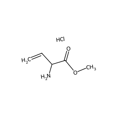 C=CC(N)C(=O)OC.Cl